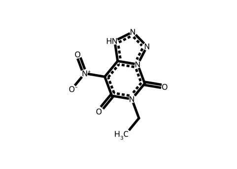 CCn1c(=O)c([N+](=O)[O-])c2[nH]nnn2c1=O